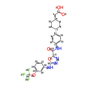 O=C(O)C[C@H]1CC[C@H](c2ccc(NC(=O)c3nnc(Nc4cccc(OC(F)(F)F)c4)o3)cc2)CC1